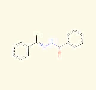 C/C(=N\NC(=O)c1ccccc1)c1ccccc1